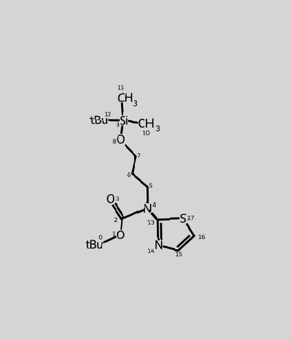 CC(C)(C)OC(=O)N(CCCO[Si](C)(C)C(C)(C)C)c1nccs1